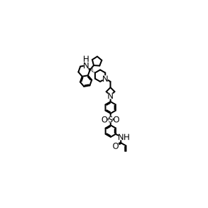 C=CC(=O)Nc1cccc(S(=O)(=O)c2ccc(N3CC(CN4CCC([C@@]5(C6CCCC6)NCCc6ccccc65)CC4)C3)cc2)c1